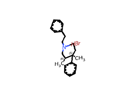 Br.C[C@H]1CN(CCc2ccccc2)CC[C@]1(C)c1ccccc1